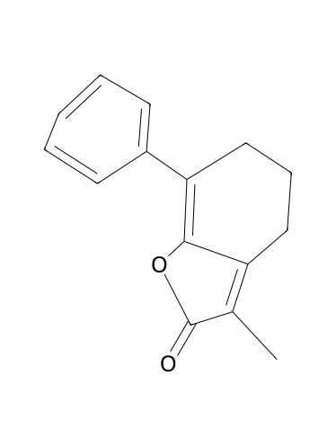 CC1=C2CCCC(c3ccccc3)=C2OC1=O